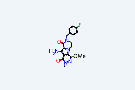 COc1nn(C)c(=O)c2c(N)c3n(c12)CCN(Cc1ccc(F)cc1)C3=O